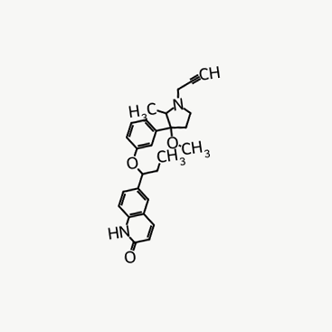 C#CCN1CCC(OC)(c2cccc(OC(CC)c3ccc4[nH]c(=O)ccc4c3)c2)C1C